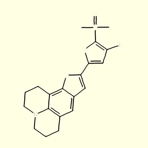 CP(C)(=S)c1sc(-c2cc3cc4c5c(c3s2)CCCN5CCC4)cc1Br